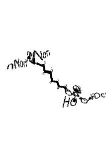 CCCCCCCCCN(CCCCCCCCC)CCCCCCCOP(=O)(O)OCCCCCCCC